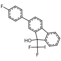 OC1(C(F)(F)I)c2ccccc2-c2ccc(-c3ccc(F)cc3)cc21